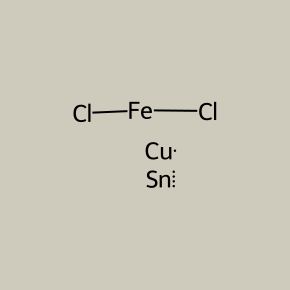 [Cl][Fe][Cl].[Cu].[Sn]